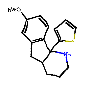 COc1ccc2c(c1)CC1CCCNC21c1cccs1